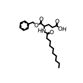 CCCCCCCCCC(=O)NC(CCC(=O)O)C(=O)OCc1ccccc1